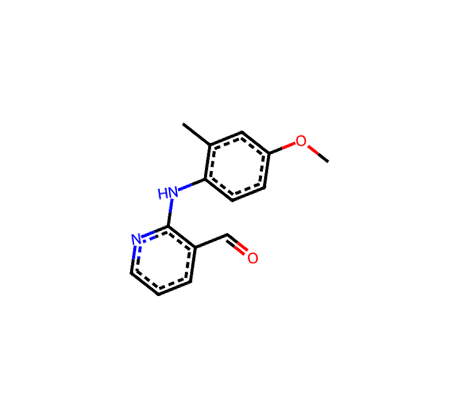 COc1ccc(Nc2ncccc2C=O)c(C)c1